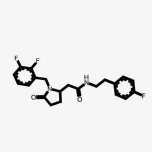 O=C(CC1CCC(=O)N1Cc1cccc(F)c1F)NCCc1ccc(F)cc1